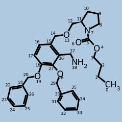 CCCCOC(=O)N1CCC[C@@H]1COCc1ccc(OCc2ccccc2)c(OCc2ccccc2)c1CN